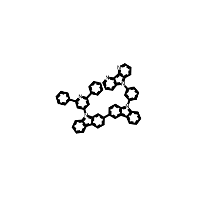 c1ccc(-c2cc(-n3c4ccccc4c4ccc(-c5ccc6c(c5)c5ccccc5n6-c5cccc(-n6c7cccnc7c7ncccc76)c5)cc43)cc(-c3ccccc3)n2)cc1